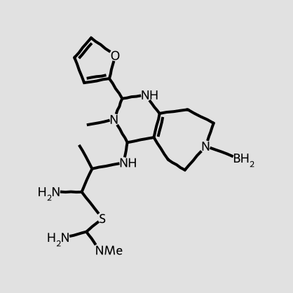 BN1CCC2=C(CC1)C(NC(C)C(N)SC(N)NC)N(C)C(c1ccco1)N2